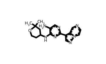 CC1(C)CC(Nc2nc(-c3cnn4ccncc34)ncc2N)CCO1